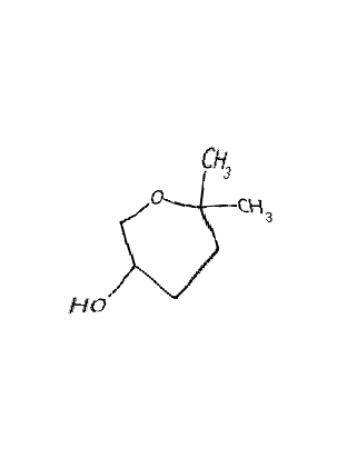 CC1(C)CCC(O)CO1